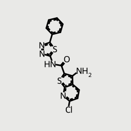 Nc1c(C(=O)Nc2nnc(-c3ccccc3)s2)sc2nc(Cl)ccc12